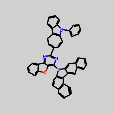 c1ccc2ccc3c(c2c#1)c1cc2ccccc2cc1n3-c1nc(C2=CCc3c(n(-c4ccccc4)c4ccccc34)C=C2)nc2c1oc1ccccc12